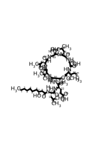 CCCCCCC[C@H](O)CC(=O)N[C@@H](CC(C)C)C(=O)N[C@H](CCC(=O)O)C(=O)N[C@@H]1C(=O)N[C@H](C(C)C)C(=O)N[C@@H](CC(C)C)C(=O)N[C@H](CO)C(=O)N[C@@H](CC(C)C)C(=O)N[C@H](CO)C(=O)N[C@@H]([C@H](C)CC)C(=O)O[C@H]1C